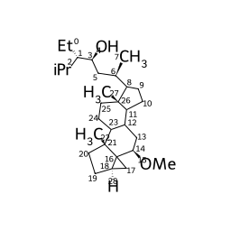 CC[C@@H](C(C)C)[C@@H](O)C[C@@H](C)C1CCC2C3C[C@@H](OC)C45C[C@H]4CC[C@]5(C)C3CC[C@@]21C